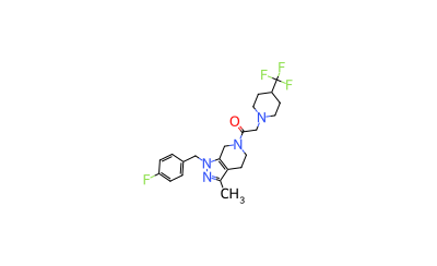 Cc1nn(Cc2ccc(F)cc2)c2c1CCN(C(=O)CN1CCC(C(F)(F)F)CC1)C2